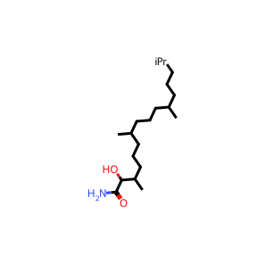 CC(C)CCCC(C)CCCC(C)CCCC(C)C(O)C(N)=O